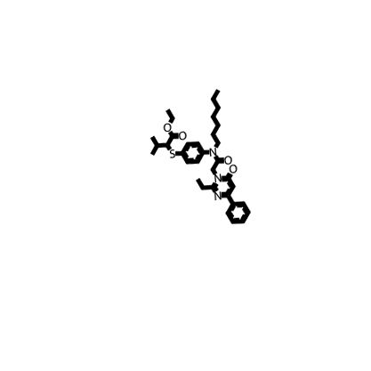 CCCCCCCN(C(=O)Cn1c(CC)nc(-c2ccccc2)cc1=O)c1ccc(SC(C(=O)OCC)C(C)C)cc1